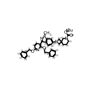 Cn1nc(-c2ccc(OCc3ccccc3)nc2OCc2ccccc2)c2ccc(N3CC4(CCCN(C(=O)OC(C)(C)C)C4)C3)cc21